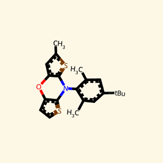 Cc1cc2c(s1)N(c1c(C)cc(C(C)(C)C)cc1C)c1sccc1O2